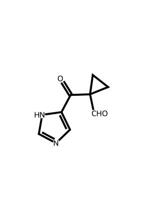 O=CC1(C(=O)c2cnc[nH]2)CC1